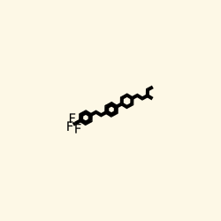 CCC(C)CCC1CCC(c2ccc(CCc3ccc(C(F)(F)F)cc3)cc2)CC1